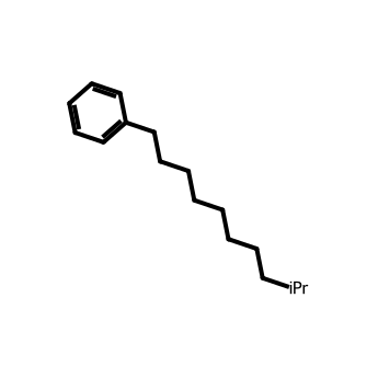 CC(C)CCCCCCCCc1ccccc1